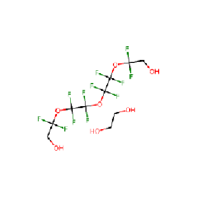 OCC(F)(F)OC(F)(F)C(F)(F)OC(F)(F)C(F)(F)OC(F)(F)CO.OCCO